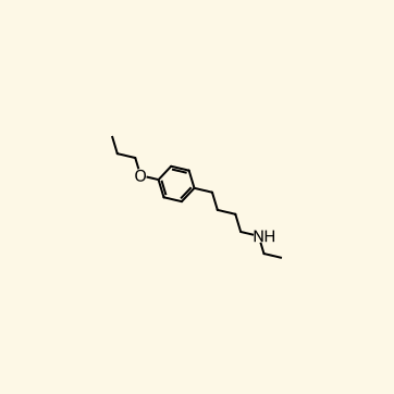 CCCOc1ccc(CCCCNCC)cc1